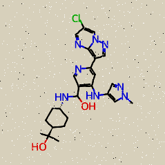 Cn1cc(Nc2cc(-c3cnn4cc(Cl)cnc34)ncc2C(O)N[C@H]2CC[C@H](C(C)(C)O)CC2)cn1